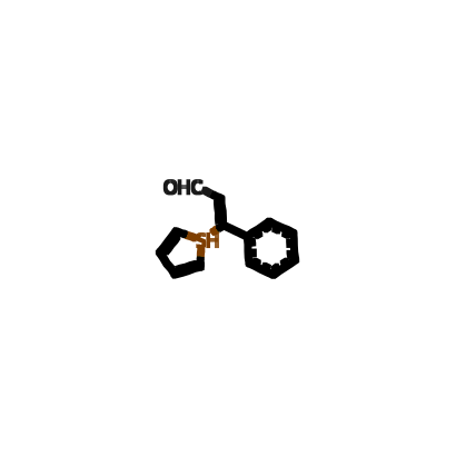 O=CC=C(c1ccccc1)[SH]1C=CC=C1